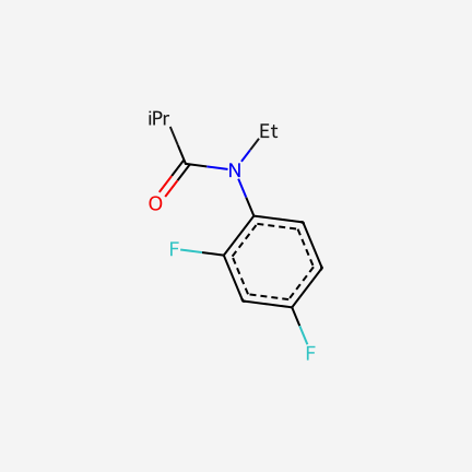 CCN(C(=O)C(C)C)c1ccc(F)cc1F